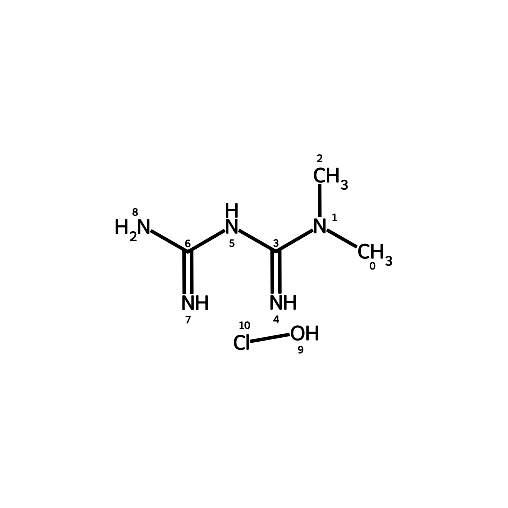 CN(C)C(=N)NC(=N)N.OCl